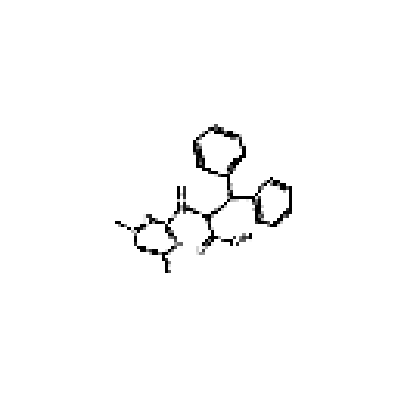 Cc1cc(C)nc(N[C@H](C(=O)O)C(c2ccccc2)c2ccccc2)n1